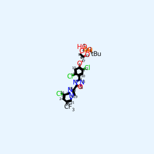 CC(C)(C)O[PH]1(O)OC[C@@H](COc2cc(Cl)c(-c3noc(-c4cn5cc(C(F)(F)F)cc(Cl)c5n4)n3)cc2Cl)O1